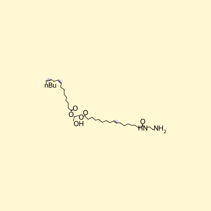 CCCC/C=C\C/C=C\CCCCCCCC(=O)OC(CO)COC(=O)CCCCCCC/C=C/CCCCCCC(=O)NCCN